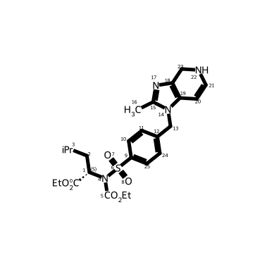 CCOC(=O)[C@H](CC(C)C)N(C(=O)OCC)S(=O)(=O)c1ccc(Cn2c(C)nc3c2C=CNC3)cc1